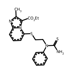 CCOC(=O)c1c(C)nc2cccc(SCCN(C(N)=S)c3ccccc3)n12